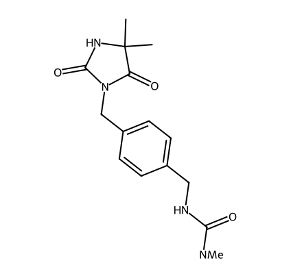 CNC(=O)NCc1ccc(CN2C(=O)NC(C)(C)C2=O)cc1